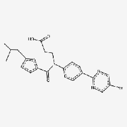 CC(C)Cc1ccc(C(=O)N(CCC(=O)O)c2ccc(-c3ncc(Br)cn3)cc2)s1